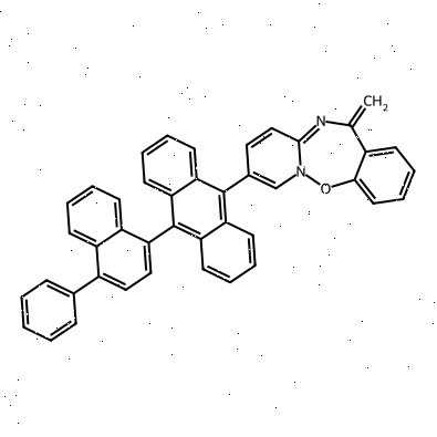 C=C1N=C2C=CC(c3c4ccccc4c(-c4ccc(-c5ccccc5)c5ccccc45)c4ccccc34)=CN2Oc2ccccc21